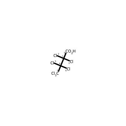 O=C(O)C(Cl)(Cl)C(Cl)(Cl)C(Cl)(Cl)Cl